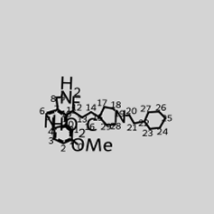 COc1ccc2ncc(CN)c([C@H](F)CCC3(C(=O)O)CCN(CCC4CCCCC4)CC3)c2c1